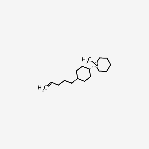 C=CCCC[C@H]1CC[C@H]([Si]2(C)CCCCC2)CC1